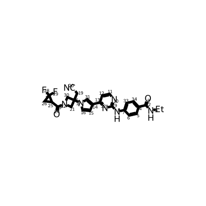 CCNC(=O)c1ccc(Nc2nccc(-c3ccn(C4(CC#N)CN(C(=O)C5CC5(F)F)C4)c3)n2)cc1